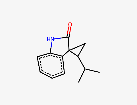 CC(C)C1CC12C(=O)Nc1ccccc12